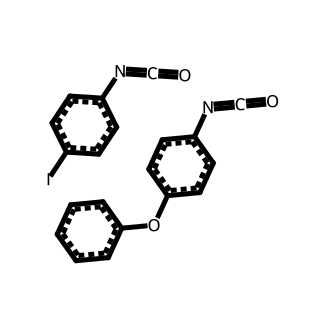 O=C=Nc1ccc(I)cc1.O=C=Nc1ccc(Oc2ccccc2)cc1